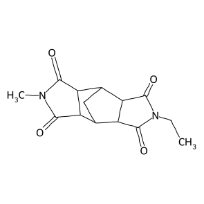 CCN1C(=O)C2C3CC(C4C(=O)N(C)C(=O)C34)C2C1=O